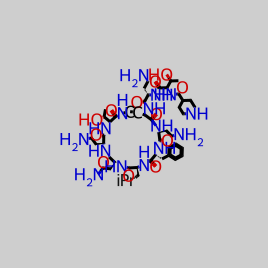 CC(C)C[C@@H]1NC(=O)[C@@H](Cc2ccccc2)NC(=O)[C@H](CCN)NC(=O)[C@@H](NC(=O)[C@H](CCN)NC(=O)[C@@H](NC(=O)C2CCNCC2)C(C)O)CCNC(=O)C(C(C)O)NC(=O)[C@H](CCN)NC(=O)[C@H](CCN)NC1=O